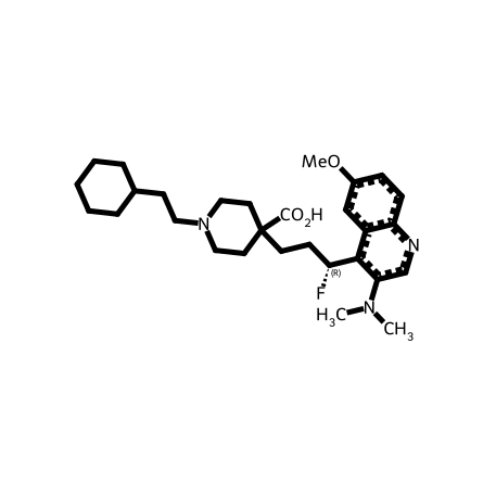 COc1ccc2ncc(N(C)C)c([C@H](F)CCC3(C(=O)O)CCN(CCC4CCCCC4)CC3)c2c1